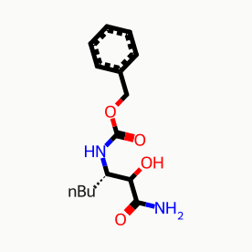 CCCC[C@H](NC(=O)OCc1ccccc1)C(O)C(N)=O